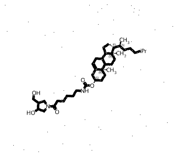 CC(C)CCC[C@H](C)[C@H]1CCC2C3CC=C4C[C@@H](OC(=O)NCCCCCC(=O)N5CC(O)C(CO)C5)CC[C@]4(C)C3CC[C@@]21C